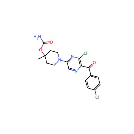 CC1(OC(N)=O)CCN(c2cnc(C(=O)c3ccc(Cl)cc3)c(Cl)n2)CC1